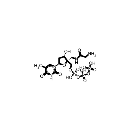 Cc1cn([C@H]2C[C@H](O)[C@@](CNC(=O)CN)(COP(=O)(O)OP(=O)(O)OP(=O)(O)O)O2)c(=O)[nH]c1=O